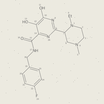 CCN1CCN(C)CC1c1nc(O)c(O)c(C(=O)NCc2ccc(F)cc2)n1